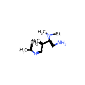 C=C(C)/N=C\C(=C)/C(=C/N)N(C)CC